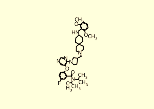 COc1cccc(OC)c1NC1CCC2(CC1)CCN(CC1CCN(c3ncncc3Oc3ccc(F)cc3C(=O)N(C(C)C)C(C)C)C1)CC2